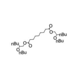 CCCCOC(CCCC)COC(=O)CCCCCCCC(=O)OCC(CCCC)OCCCC